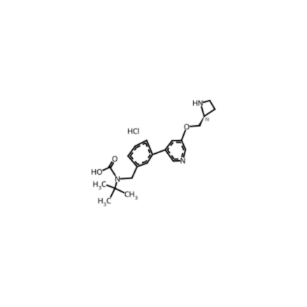 CC(C)(C)N(Cc1cccc(-c2cncc(OC[C@@H]3CCN3)c2)c1)C(=O)O.Cl